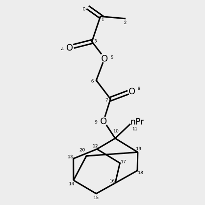 C=C(C)C(=O)OCC(=O)OC1(CCC)C2CC3CC(C2)CC1C3